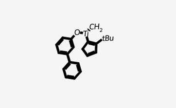 [CH2]=[Ti]([O]c1cccc(-c2ccccc2)c1)[C]1=C(C(C)(C)C)C=CC1